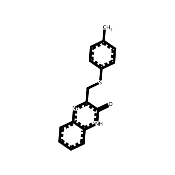 Cc1ccc(SCc2nc3ccccc3[nH]c2=O)cc1